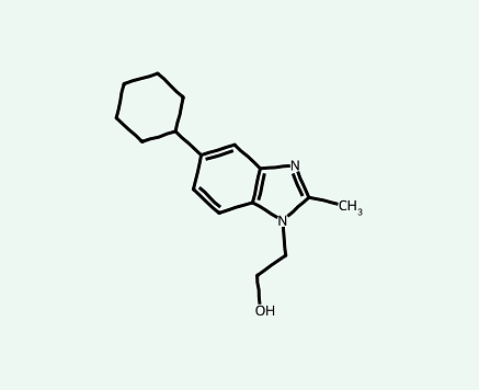 Cc1nc2cc(C3CCCCC3)ccc2n1CCO